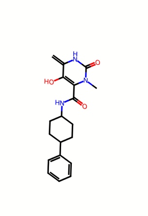 C=C1NC(=O)N(C)C(C(=O)NC2CCC(c3ccccc3)CC2)=C1O